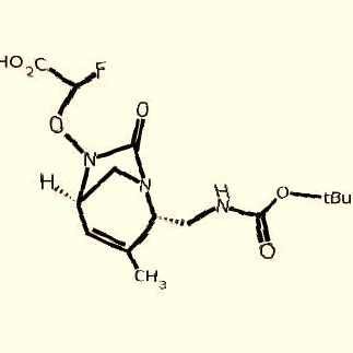 CC1=C[C@@H]2CN(C(=O)N2OC(F)C(=O)O)[C@@H]1CNC(=O)OC(C)(C)C